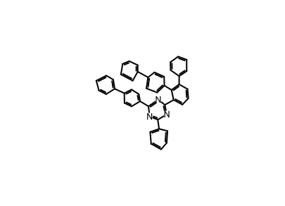 c1ccc(-c2ccc(-c3nc(-c4ccccc4)nc(-c4cccc(-c5ccccc5)c4-c4ccc(-c5ccccc5)cc4)n3)cc2)cc1